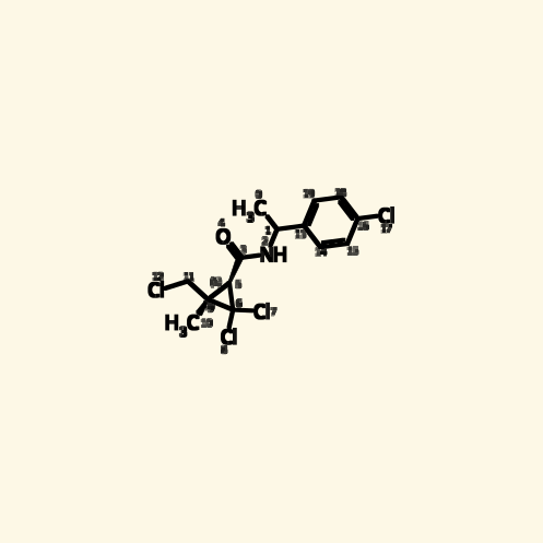 CC(NC(=O)[C@H]1C(Cl)(Cl)[C@]1(C)CCl)c1ccc(Cl)cc1